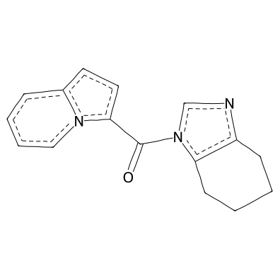 O=C(c1ccc2ccccn12)n1cnc2c1CCCC2